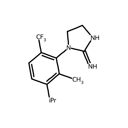 Cc1c(C(C)C)ccc(C(F)(F)F)c1N1CCNC1=N